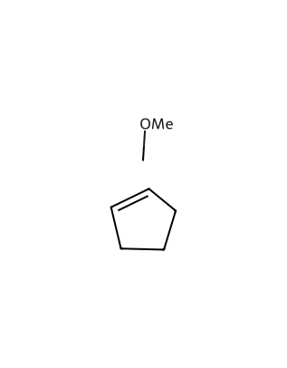 C1=CCCC1.COC